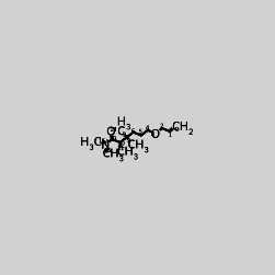 C=CCOCCCC(C)(C)C(C)C(=O)N(C)C